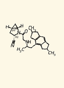 CC1Cc2cc3c(c(CC(C)NCC(=O)N4[C@H](C#N)C[C@@H]5C[C@@H]54)c2C1)CC(C)C3